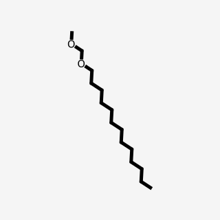 CCCCCCCCCCCCCOCOC